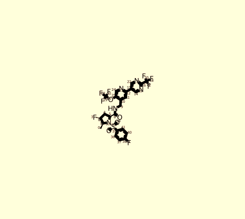 C[C@H]1[C@H](F)C[C@@H](C(=O)NCc2cc(-c3cnc(C(F)(F)F)nc3)ncc2OC(F)(F)F)N1S(=O)(=O)c1ccc(F)cc1